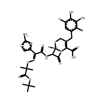 CC(C)(C)OC(=O)C(C)(C)ON=C(C(=O)NC1C(=O)N2C(C(=O)O)=C(Cc3cc(F)c(O)c(O)c3F)CS[C@@H]12)c1csc(N)n1